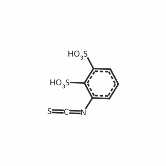 O=S(=O)(O)c1cccc(N=C=S)c1S(=O)(=O)O